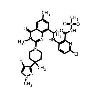 Cc1cc([C@@H](C)Nc2ccc(Cl)nc2C(=O)NS(C)(=O)=O)c2nc(N3CCC(C)(c4nn(C)cc4F)CC3)n(C)c(=O)c2c1